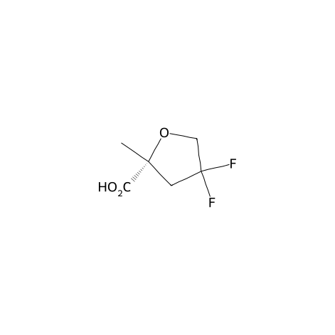 C[C@]1(C(=O)O)CC(F)(F)CO1